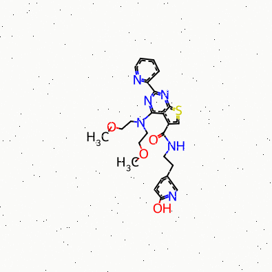 COCCN(CCOC)c1nc(-c2ccccn2)nc2scc(C(=O)NCCc3ccc(O)nc3)c12